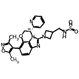 Cc1noc(C)c1-c1ccc2nc(N3CC(CN[SH](=O)=O)C3)n3c2c1OC[C@@H]3c1ccccn1